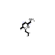 C=C(/C=C\C(Br)=C/N)OCCC